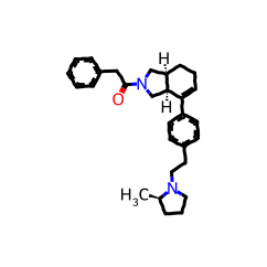 C[C@@H]1CCCN1CCc1ccc(C2=CCC[C@@H]3CN(C(=O)Cc4ccccc4)C[C@H]23)cc1